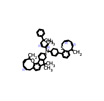 C=C1C#C/C=C\Cc2ccc3c(c2O1)C1=C(C[C@@H](N(C2=CC=C(c4cccc5c4SC/C=C\C=C/C5=C)CC2)C(/C=C\C(=C)c2ccccc2)=C/C)C=C1)C3(C)C